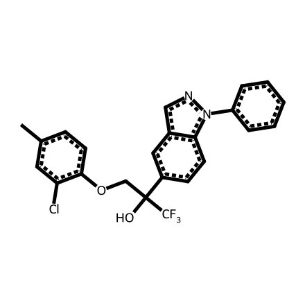 Cc1ccc(OCC(O)(c2ccc3c(cnn3-c3ccccc3)c2)C(F)(F)F)c(Cl)c1